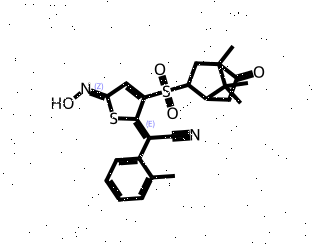 Cc1ccccc1/C(C#N)=C1\S/C(=N\O)C=C1S(=O)(=O)C1CC2(C)C(=O)CC1C2(C)C